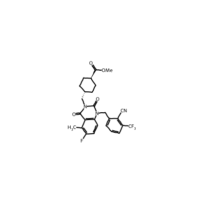 COC(=O)[C@H]1CC[C@H](Cn2c(=O)c3c(C)c(F)ccc3n(Cc3cccc(C(F)(F)F)c3C#N)c2=O)CC1